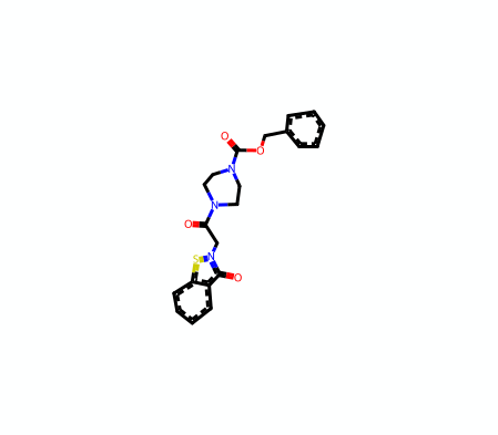 O=C(Cn1sc2ccccc2c1=O)N1CCN(C(=O)OCc2ccccc2)CC1